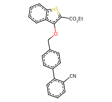 CCOC(=O)c1sc2ccccc2c1OCc1ccc(-c2ccccc2C#N)cc1